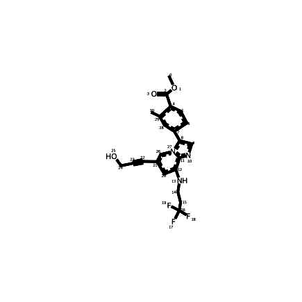 COC(=O)c1ccc(-c2cnc3c(NCCC(F)(F)F)cc(C#CCO)cn23)cc1C